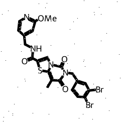 COc1cc(CNC(=O)c2cn3c(=O)n(Cc4ccc(Br)c(Br)c4)c(=O)c(C)c3s2)ccn1